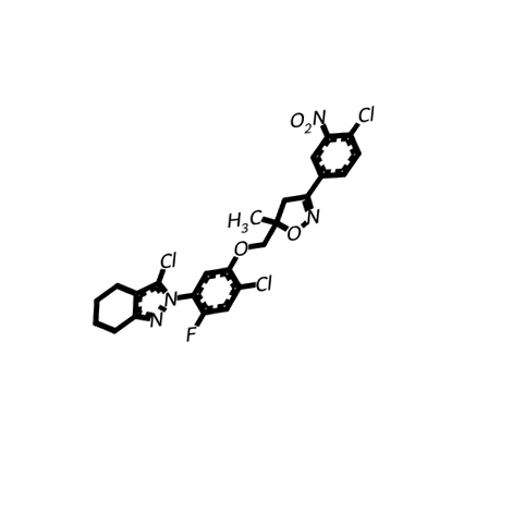 CC1(COc2cc(-n3nc4c(c3Cl)CCCC4)c(F)cc2Cl)CC(c2ccc(Cl)c([N+](=O)[O-])c2)=NO1